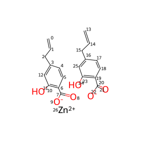 C=CCc1ccc(C(=O)[O-])c(O)c1.C=CCc1ccc(C(=O)[O-])c(O)c1.[Zn+2]